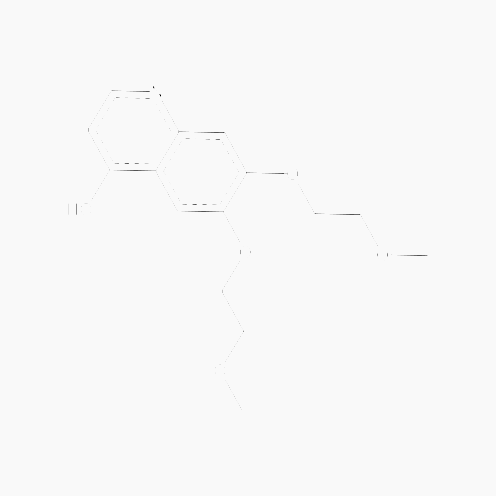 COCCOc1cc2nccc(O)c2cc1OCCOC